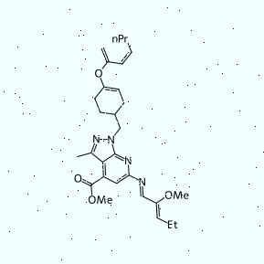 C=C(/C=C\CCC)OC1=CCC(Cn2nc(C)c3c(C(=O)OC)cc(/N=C/C(=C/CC)OC)nc32)CC1